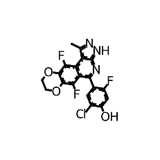 Cc1n[nH]c2nc(-c3cc(Cl)c(O)cc3F)c3c(F)c4c(c(F)c3c12)OCCO4